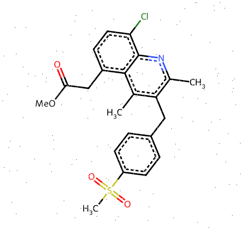 COC(=O)Cc1ccc(Cl)c2nc(C)c(Cc3ccc(S(C)(=O)=O)cc3)c(C)c12